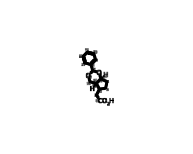 O=C(O)CC1CC[C@@H]2OC(c3ccccc3)OC[C@@H]12